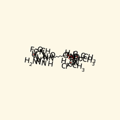 CCOc1cc(C(C)(C)C)ccc1C1=N[C@@](C)(c2ccc(Cl)cc2)[C@@](C)(c2ccc(Cl)cc2)N1C(=O)N1CCN(CCCCCCCCC(=O)NCCn2nc3c(c2C#N)-c2cnc(N)c(n2)N2CCC[C@@H]2c2cc(F)ccc2C(=O)N(C)C3)CC1